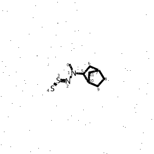 CN(N=S=S)C1CC2CCC1C2